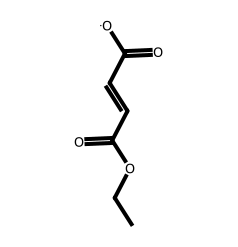 CCOC(=O)C=CC([O])=O